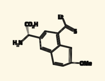 CCC(=S)c1cc([C@H](N)C(=O)O)cc2ccc(OC)cc12